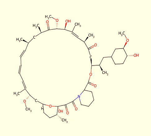 CO[C@H]1C[C@@H]2CC[C@@H](C)[C@@](O)(O2)C(=O)C(=O)N2CCCCC2C(=O)O[C@H]([C@H](C)CC2CC[C@@H](O)[C@H](OC)C2)CC(=O)[C@H](C)/C=C(\C)[C@H](O)[C@@H](OC)C(=O)[C@H](C)C[C@H](C)/C=C/C=C/C=C/1C